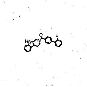 O=C(c1ccc(-c2ccccc2F)cc1)N1CCc2c([nH]c3ccccc23)C1